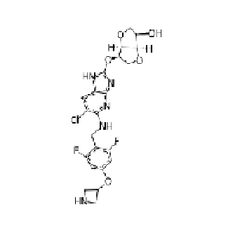 O[C@@H]1CO[C@H]2[C@@H]1OC[C@H]2Oc1nc2nc(NCc3c(F)cc(OC4CNC4)cc3F)c(Cl)cc2[nH]1